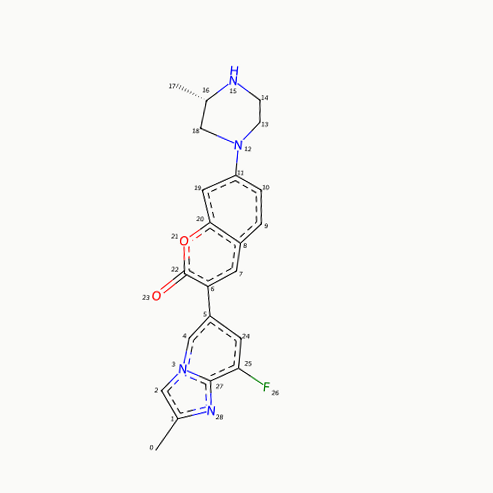 Cc1cn2cc(-c3cc4ccc(N5CCN[C@@H](C)C5)cc4oc3=O)cc(F)c2n1